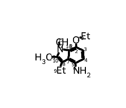 CCOc1ccc(N)c2c(CC)c(C)n(C)c12